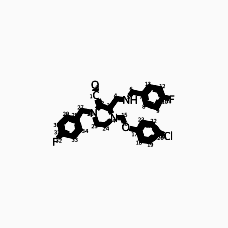 O=C=C1C(CNCc2ccc(F)cc2)N(COc2ccc(Cl)cc2)CCN1Cc1ccc(F)cc1